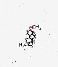 COc1ccc2c3c(ccc2c1)[C@@H]1CCC[C@@]1(C)CC3